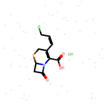 Cl.O=C(O)C1=C(/C=C\CCl)CSC2CC(=O)N12